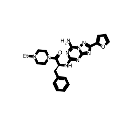 CCN1CCN(C(=O)[C@H](Cc2ccccc2)Nc2nc(N)n3nc(-c4ccco4)nc3n2)CC1